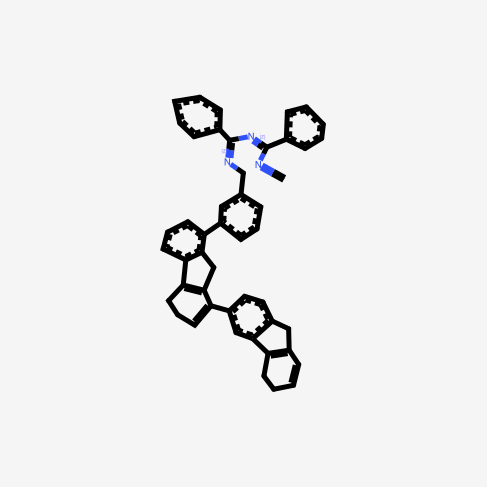 C=N/C(=N\C(=N/Cc1cccc(-c2cccc3c2CC2=C3CCC=C2c2ccc3c(c2)C2=C(C=CCC2)C3)c1)c1ccccc1)c1ccccc1